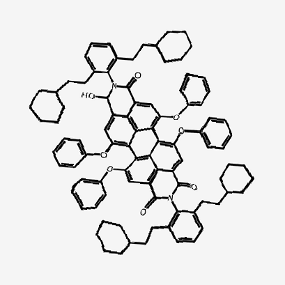 O=C1c2cc(Oc3ccccc3)c3c4c(Oc5ccccc5)cc5c6c(cc(Oc7ccccc7)c(c7c(Oc8ccccc8)cc(c2c37)C(=O)N1c1c(CCC2CCCCC2)cccc1CCC1CCCCC1)c64)C(O)N(c1c(CCC2CCCCC2)cccc1CCC1CCCCC1)C5=O